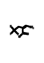 NC=C(CC(F)(F)F)[N+](=O)[O-]